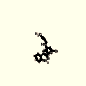 CC#CCNc1cc(Cl)nc2c(Br)c([C@@H]3CC=CC[C@H]3N)sc12